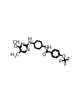 COc1nc(NC2CCC(NC(=O)c3ccc(OC(F)(F)F)cc3)CC2)ncc1C